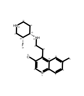 Cc1ccc2ncc(Cl)c(CCN[C@H]3CCNC[C@H]3F)c2c1